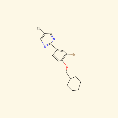 CCc1cnc(-c2ccc(OCC3CC[CH]CC3)c(Br)c2)nc1